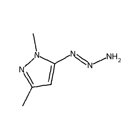 Cc1cc(N=NN)n(C)n1